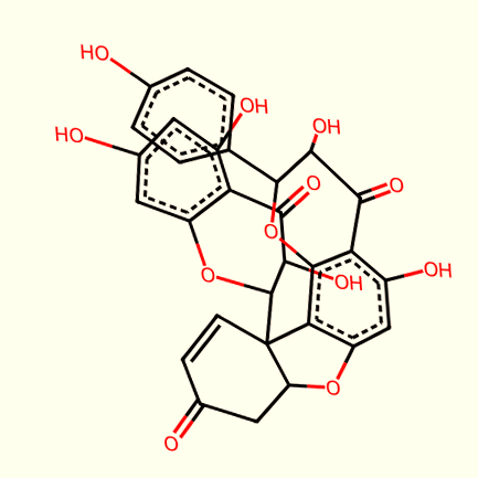 O=C1C=CC2(C3Oc4cc(O)cc(O)c4C(=O)C3O)c3c(cc(O)c4c3OC(c3ccc(O)cc3)C(O)C4=O)OC2C1